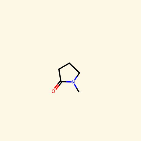 [CH2]N1CCCC1=O